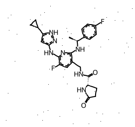 C[C@H](Nc1nc(Nc2cc(C3CC3)[nH]n2)c(F)cc1CNC(=O)[C@@H]1CCC(=O)N1)c1ccc(F)cc1